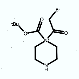 CC(C)(C)OC(=O)[N+]1(C(=O)CBr)CCNCC1